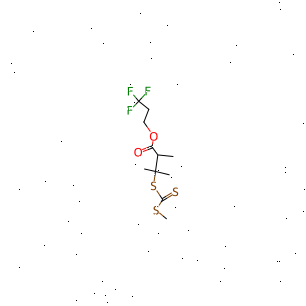 CSC(=S)SC(C)(C)C(C)C(=O)OCCC(F)(F)F